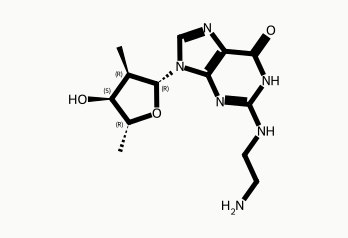 C[C@@H]1[C@H](O)[C@@H](C)O[C@H]1n1cnc2c(=O)[nH]c(NCCN)nc21